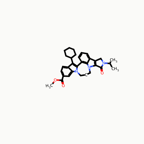 COC(=O)c1ccc2c(C3CCCCC3)c3n(c2c1)CCCn1c2c(c4cccc-3c41)CN(C(C)C)C2=O